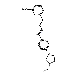 COc1cccc(CO/N=C(\C)c2ccc([C@@H]3CC[C@H](CO)C3)cc2)c1